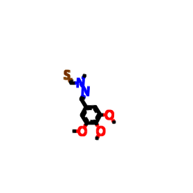 COc1cc(C=NN(C)C=S)cc(OC)c1OC